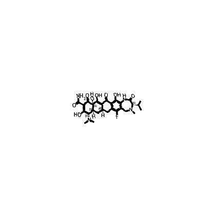 CC(C)[C@H]1C(=O)Nc2c(O)c3c(c(F)c2CN1C)C[C@H]1C[C@H]2[C@H](N(C)C)C(O)=C(C(N)=O)C(=O)[C@@]2(O)C(O)=C1C3=O